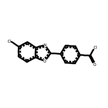 O=C(Cl)c1ccc(-c2nc3cc(Cl)ccc3o2)cc1